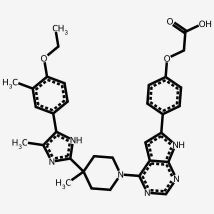 CCOc1ccc(-c2[nH]c(C3(C)CCN(c4ncnc5[nH]c(-c6ccc(OCC(=O)O)cc6)cc45)CC3)nc2C)cc1C